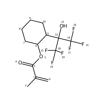 C=C(C)C(=O)OC1CCCCC1C(O)(C(F)(F)F)C(F)(F)F